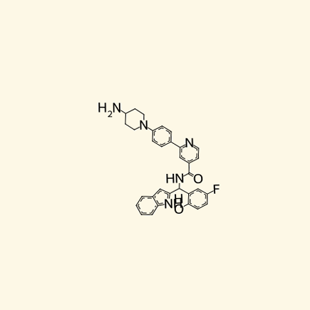 NC1CCN(c2ccc(-c3cc(C(=O)NC(c4cc5ccccc5[nH]4)c4cc(F)ccc4O)ccn3)cc2)CC1